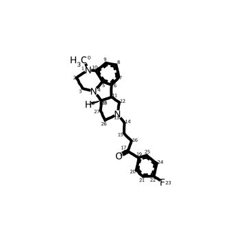 CN1CCN2c3c(cccc31)C1CN(CCCC(=O)c3ccc(F)cc3)CC[C@@H]12